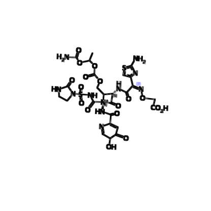 CC(OC(N)=O)OC(=O)OCC1[C@H](NC(=O)/C(=N\OCC(=O)O)c2csc(N)n2)C(=O)[N@+]1(NC(=O)C1=CC(=O)C(O)C=N1)C(=O)NS(=O)(=O)N1CCNC1=O